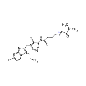 CN(C)C(=O)/C=C/CCCC(=O)Nc1cncn(Cc2nc3cc(F)ccc3n2CCC(F)(F)F)c1=O